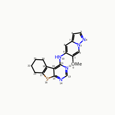 COc1cn2nccc2cc1Nc1ncnc2sc3c(c12)CCCC3